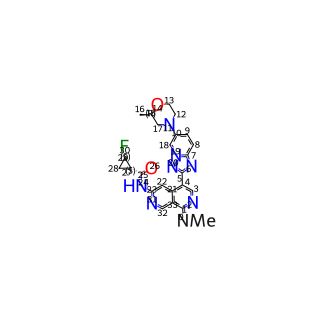 CNc1ncc(-c2nc3ccc(N4CCO[C@H](C)C4)cn3n2)c2cc(NC(=O)[C@@H]3C[C@@H]3F)ncc12